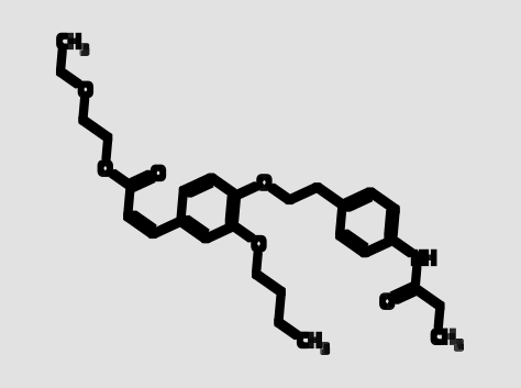 CCCCOc1cc(/C=C\C(=O)OCCOCC)ccc1OCCc1ccc(NC(=O)CC)cc1